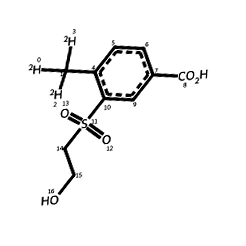 [2H]C([2H])([2H])c1ccc(C(=O)O)cc1S(=O)(=O)CCO